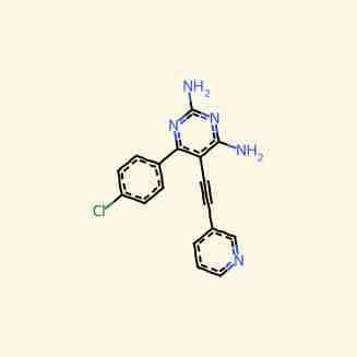 Nc1nc(N)c(C#Cc2cccnc2)c(-c2ccc(Cl)cc2)n1